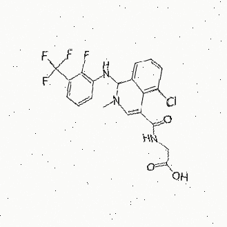 CN1C=C(C(=O)NCC(=O)O)c2c(Cl)cccc2C1Nc1cccc(C(F)(F)F)c1F